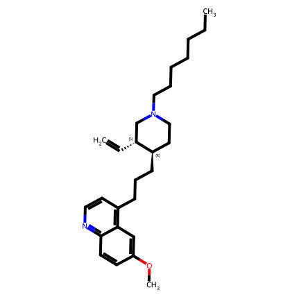 C=C[C@@H]1CN(CCCCCCC)CC[C@H]1CCCc1ccnc2ccc(OC)cc12